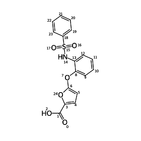 O=C(O)c1ccc(Oc2ccccc2NS(=O)(=O)c2ccccc2)o1